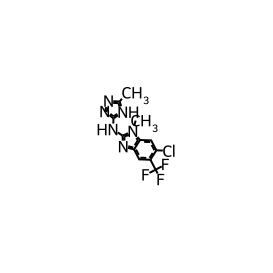 Cc1nnc(Nc2nc3cc(C(F)(F)F)c(Cl)cc3n2C)[nH]1